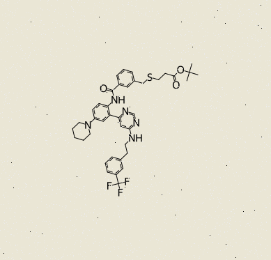 CC(C)(C)OC(=O)CCSCc1cccc(C(=O)Nc2ccc(N3CCCCC3)cc2-c2cc(NCCc3cccc(C(F)(F)F)c3)ncn2)c1